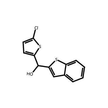 OC(c1ccc(Cl)s1)c1cc2ccccc2s1